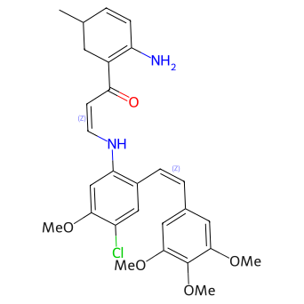 COc1cc(N/C=C\C(=O)C2=C(N)C=CC(C)C2)c(/C=C\c2cc(OC)c(OC)c(OC)c2)cc1Cl